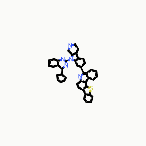 c1ccc(-c2nc(-n3c4cnccc4c4ccc(-c5nc6ccc7c8ccccc8sc7c6c6ccccc56)cc43)nc3ccccc23)cc1